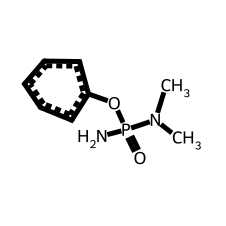 CN(C)P(N)(=O)Oc1ccccc1